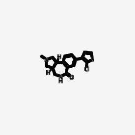 CN1C[C@@H]2CNC(=O)c3cc(-c4ccsc4Cl)ccc3[C@H]2C1